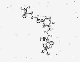 CN(C)C(=O)CCCOc1cccc(CCCNC(=O)OC(C)(C)C)c1